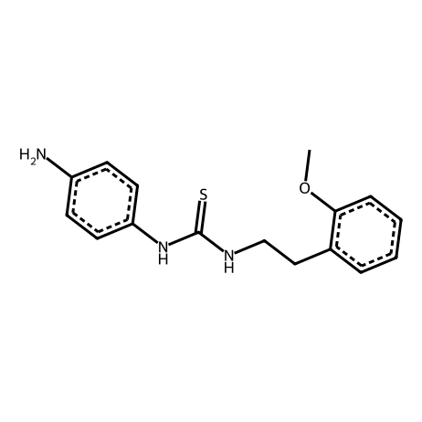 COc1ccccc1CCNC(=S)Nc1ccc(N)cc1